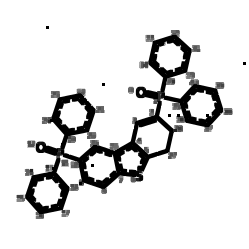 O=P(C1=Cc2c(sc3ccc(P(=O)(c4ccccc4)c4ccccc4)cc23)CC1)(c1ccccc1)c1ccccc1